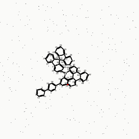 c1ccc(-c2ccc(-c3cccc(N(c4ccc5c(c4)C4(c6ccccc6-c6ccccc64)c4ccccc4-5)c4cccc5c6ccccc6c6ccccc6c45)c3)cc2)cc1